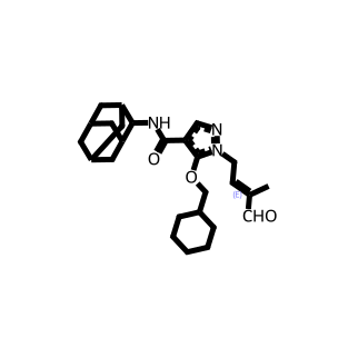 C/C(C=O)=C\Cn1ncc(C(=O)NC2C3CC4CC(C3)CC2C4)c1OCC1CCCCC1